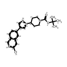 CC(C)(C)OC(=O)N1CCC(n2cc(-c3ccc4cnc(Cl)cc4c3)cn2)CC1